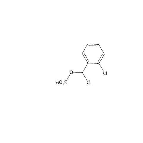 O=C(O)OC(Cl)c1ccccc1Cl